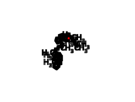 CC(C)CCC[C@@H](C)[C@H]1CC[C@H]2[C@@H]3CCC4CCCC(CC(C)CCC[C@@H](C)[C@H]5CC[C@H]6[C@@H]7CC=C8CCCC[C@]8(C)[C@H]7CC[C@]56C)[C@]4(C)[C@H]3CC[C@]12C